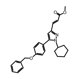 COC(=O)C=Cc1cc(-c2ccc(OCc3ccccc3)cc2)n(C2CCCCC2)n1